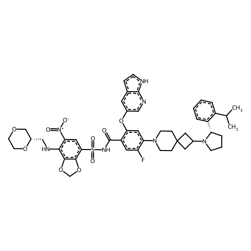 CC(C)c1ccccc1[C@@H]1CCCN1C1CC2(CCN(c3cc(Oc4cnc5[nH]ccc5c4)c(C(=O)NS(=O)(=O)c4cc([N+](=O)[O-])c(NC[C@H]5COCCO5)c5c4OCO5)cc3F)CC2)C1